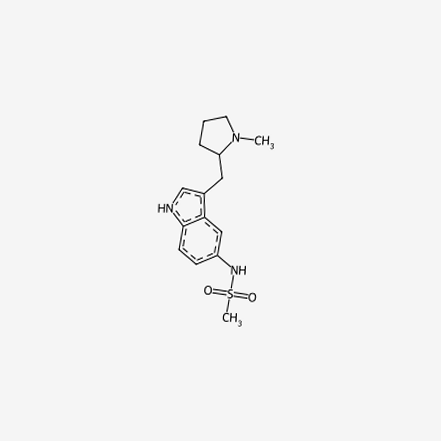 CN1CCCC1Cc1c[nH]c2ccc(NS(C)(=O)=O)cc12